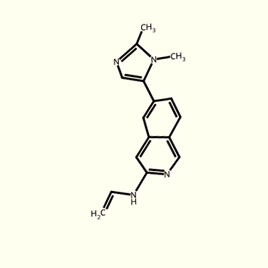 C=CNc1cc2cc(-c3cnc(C)n3C)ccc2cn1